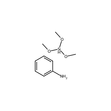 CO[SiH](OC)OC.Nc1ccccc1